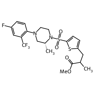 COC(=O)C(C)Cc1ccc(S(=O)(=O)N2CCN(c3ccc(F)cc3C(F)(F)F)C[C@H]2C)s1